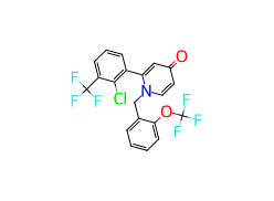 O=c1ccn(Cc2ccccc2OC(F)(F)F)c(-c2cccc(C(F)(F)F)c2Cl)c1